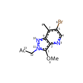 COc1c2ncc(Br)c(C)c2nn1CC(C)=O